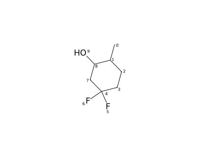 CC1CCC(F)(F)CC1O